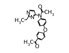 CCc1nccc(N(C(C)=O)c2ccc(Oc3ccc(C(C)=O)cc3)cc2)n1